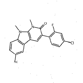 CC(=O)c1ccc2c(c1)c1cc(-c3ccc(Cl)cc3F)c(=O)n(C)c1n2C